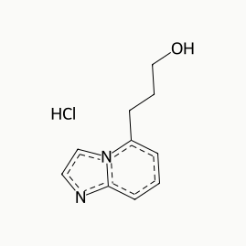 Cl.OCCCc1cccc2nccn12